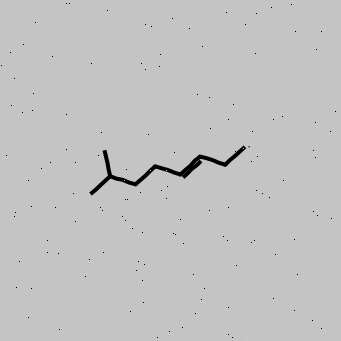 [CH2]CC=CCCC(C)C